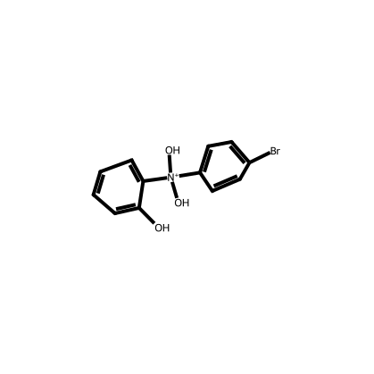 Oc1ccccc1[N+](O)(O)c1ccc(Br)cc1